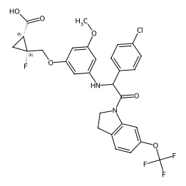 COc1cc(NC(C(=O)N2CCc3ccc(OC(F)(F)F)cc32)c2ccc(Cl)cc2)cc(OC[C@@]2(F)C[C@@H]2C(=O)O)c1